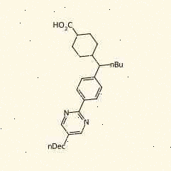 CCCCCCCCCCc1cnc(-c2ccc(C(CCCC)C3CCC(C(=O)O)CC3)cc2)nc1